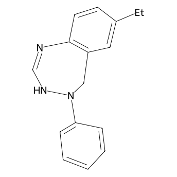 CCc1ccc2c(c1)CN(c1ccccc1)NC=N2